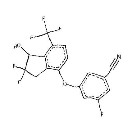 N#Cc1cc(F)cc(Oc2ccc(C(F)(F)F)c3c2CC(F)(F)C3O)c1